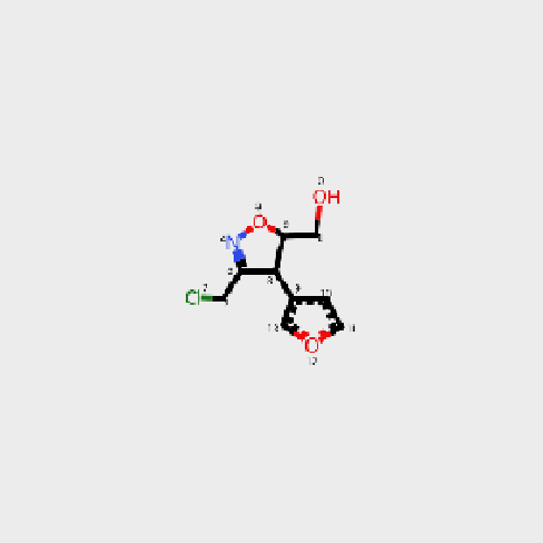 OCC1ON=C(CCl)C1c1ccoc1